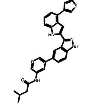 CC(C)CC(=O)Nc1cncc(-c2ccc3[nH]nc(-c4cc5c(-c6ccsc6)cccc5[nH]4)c3c2)c1